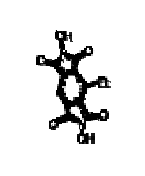 CCc1c2c(=O)n(O)c(=O)c2cc2c(=O)n(O)c(=O)c12